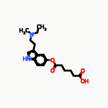 CCN(C)CCc1c[nH]c2ccc(OC(=O)CCCCC(=O)O)cc12